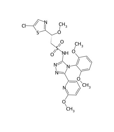 COc1cccc(-c2nnc(NS(=O)(=O)C[C@@H](OC)c3ncc(Cl)s3)n2-c2c(OC)cccc2OC)n1